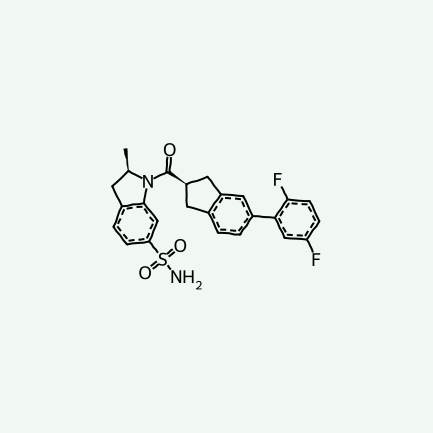 C[C@@H]1Cc2ccc(S(N)(=O)=O)cc2N1C(=O)[C@@H]1Cc2ccc(-c3cc(F)ccc3F)cc2C1